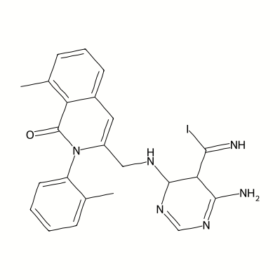 Cc1ccccc1-n1c(CNC2N=CN=C(N)C2C(=N)I)cc2cccc(C)c2c1=O